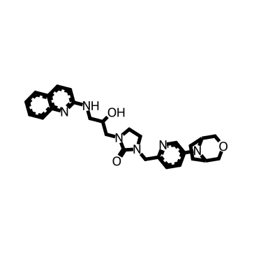 O=C1N(Cc2ccc(N3C4CCC3COC4)cn2)CCN1CC(O)CNc1ccc2ccccc2n1